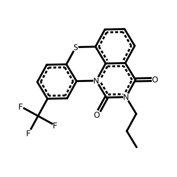 CCCn1c(=O)c2cccc3c2n(c1=O)-c1cc(C(F)(F)F)ccc1S3